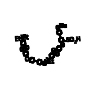 CCC(C)Oc1ccc(-c2ccc(Oc3ccc(S(=O)(=O)c4ccc(C(C)(CC)C(C)(C)Oc5ccc(-c6ccc(Oc7ccc(S(=O)(=O)c8ccc(C(C)(CC)CC)cc8)cc7)cc6)cc5)cc4)cc3)c(CS(=O)(=O)O)c2)cc1